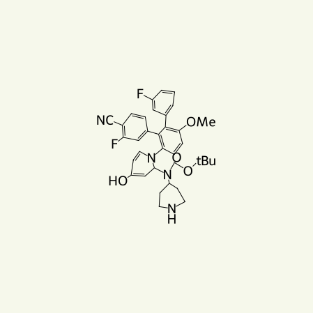 COc1ccc(N2C=CC(O)=CC2N(C(=O)OC(C)(C)C)C2CCNCC2)c(-c2ccc(C#N)c(F)c2)c1-c1cccc(F)c1